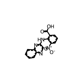 O=C(O)c1cccc([N+](=O)[O-])c1Nc1cnc2ccccc2n1